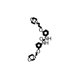 O=C(Nc1cccc(OCCCN2CCOCC2)c1)Nc1cccc(OCCN2CCOCC2)c1